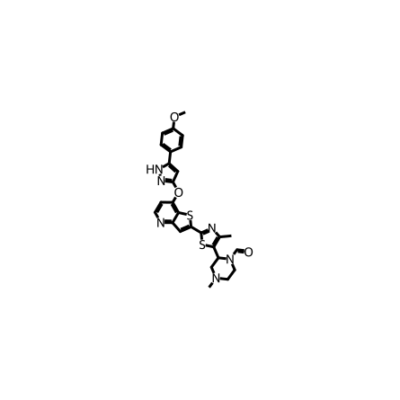 COc1ccc(-c2cc(Oc3ccnc4cc(-c5nc(C)c(C6CN(C)CCN6C=O)s5)sc34)n[nH]2)cc1